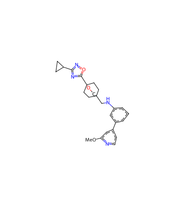 COc1cc(-c2cccc(NCC34CCC(c5nc(C6CC6)no5)(CC3)OC4)c2)ccn1